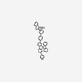 C1=CC2=C(CC1)c1ccccc1C21C2=C(CCC(c3ccncc3)=C2)c2ccc(-c3ccc(C4=CN5c6sc7ccccc7c6NC5C=C4)cc3)cc21